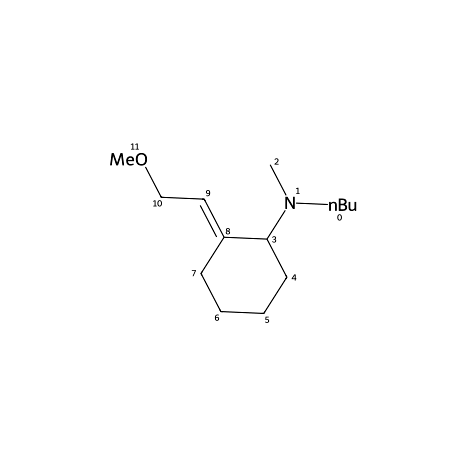 CCCCN(C)C1CCCCC1=CCOC